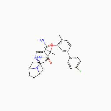 Cc1ccc(-c2ccc(F)cc2)cc1OC(C)(C)C(=O)NC1CC2CCC(C1)N2c1ccc(C(N)=O)cn1